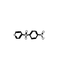 O=[N+]([O-])c1ccc(S(=O)(=O)c2ccncc2)cc1